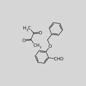 CC(=O)C(C)=O.O=Cc1ccccc1OCc1ccccc1